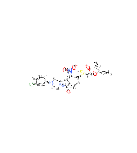 CC(C)OC(=O)CSc1ccc(C(=O)N2CCN(c3cccc(Cl)c3)CC2)cc1[N+](=O)[O-]